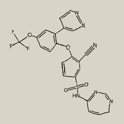 N#Cc1cc(S(=O)(=O)NC2=NC=NCC=C2)ccc1Oc1ccc(OC(F)(F)F)cc1-c1ccnnc1